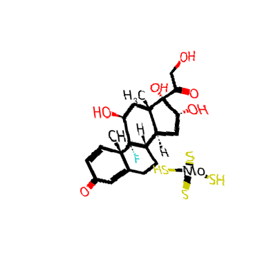 C[C@]12C=CC(=O)C=C1CC[C@H]1[C@@H]3C[C@@H](O)[C@](O)(C(=O)CO)[C@@]3(C)C[C@H](O)[C@@]12F.[S]=[Mo](=[S])([SH])[SH]